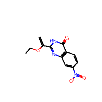 C=C(OCC)c1nc2cc([N+](=O)[O-])ccc2c(=O)[nH]1